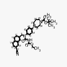 CCOC(=O)NC(=O)N(Cc1ccc2ccc(C#N)cc2c1)c1ccc(N2CCCN(C(=O)OC(C)(C)C)CC2)cc1